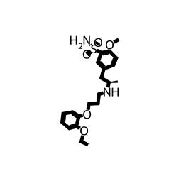 CCOc1ccccc1OCCCN[C@H](C)Cc1ccc(OC)c(S(N)(=O)=O)c1